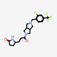 O=C1CCC(CCC(=O)N2CC3CN(Cc4ccc(C(F)(F)F)cc4F)CC3C2)N1